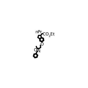 CCCC(C(=O)OCC)C1CCc2cc(OCCc3nc(-c4ccccc4)oc3C)ccc21